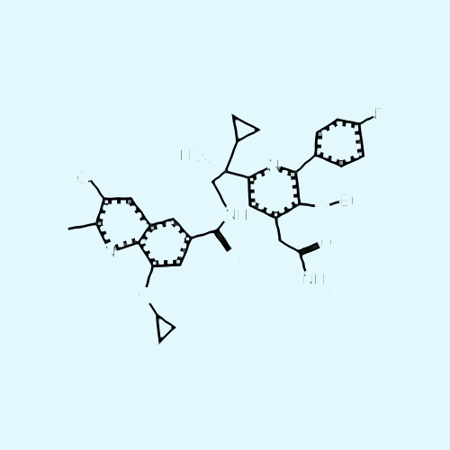 CCOc1c(CC(N)=O)cc([C@@](O)(CNC(=O)c2cc(OC3CC3)c3nc(C)c(Cl)cc3c2)C2CC2)nc1-c1ccc(F)cc1